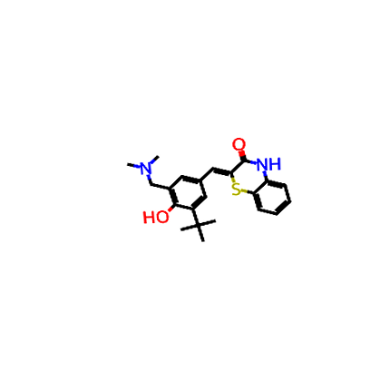 CN(C)Cc1cc(C=C2Sc3ccccc3NC2=O)cc(C(C)(C)C)c1O